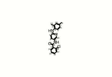 Cc1ccc(Nc2ccc(NC(=O)c3ccccc3Cl)cn2)c(C)c1